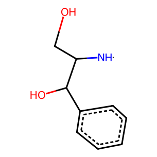 [NH]C(CO)C(O)c1ccccc1